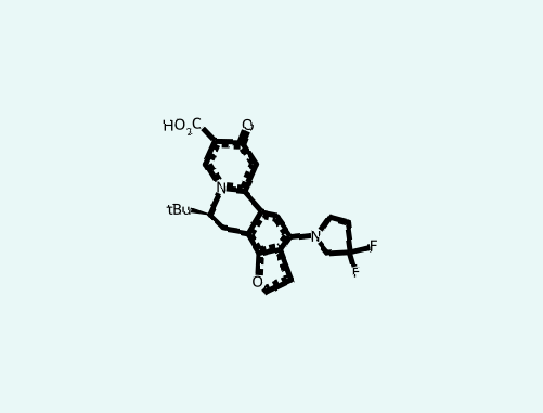 CC(C)(C)[C@@H]1Cc2c(cc(N3CCC(F)(F)C3)c3ccoc23)-c2cc(=O)c(C(=O)O)cn21